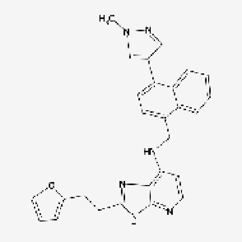 Cn1cc(-c2ccc(CNc3ccnc4[nH]c(CCc5ccco5)nc34)c3ccccc23)cn1